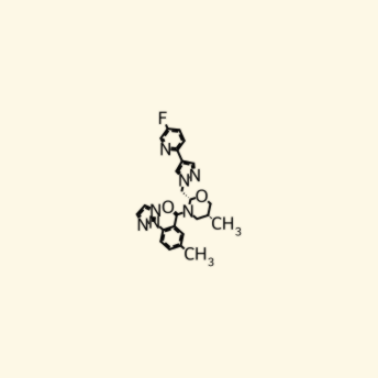 Cc1ccc(-n2nccn2)c(C(=O)N2C[C@@H](C)CO[C@H]2Cn2cc(-c3ccc(F)cn3)cn2)c1